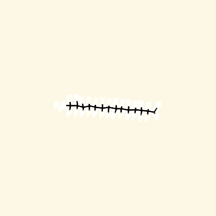 FC(F)C(F)(F)C(F)(F)C(F)(F)C(F)(F)C(F)(F)C(F)(F)C(F)(F)C(F)(F)C(F)(F)C(F)(F)C(F)(F)C(F)(F)C(F)(F)C(F)(F)F